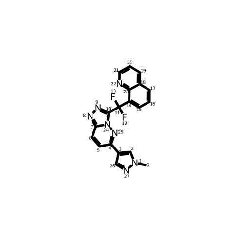 Cn1cc(-c2ccc3nnc(C(F)(F)c4cccc5cccnc45)n3n2)cn1